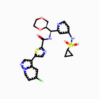 O=C(N[C@H](c1cc(NS(=O)(=O)C2CC2)ccn1)[C@@H]1COCCO1)c1ncc(-c2cnn3ccc(Cl)cc23)s1